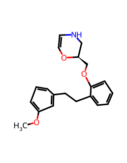 COc1cccc(CCc2ccccc2OC[C@@H]2CNC=CO2)c1